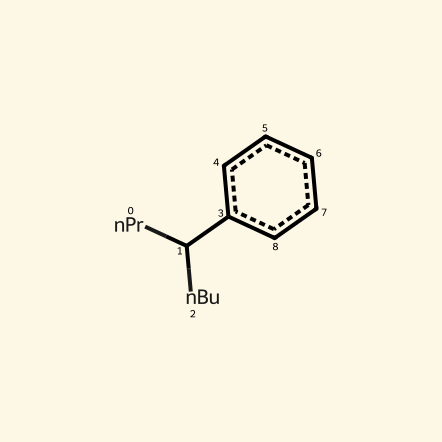 [CH2]CCC(CCCC)c1ccccc1